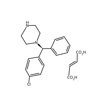 Clc1ccc([C@H](c2ccccc2)N2CCNCC2)cc1.O=C(O)/C=C/C(=O)O